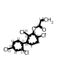 C=CC(=O)Oc1c(Cl)ccc(-c2ccc(Cl)cc2Cl)c1Cl